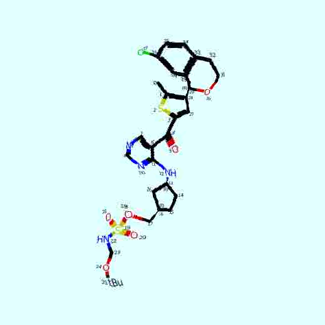 Cc1sc(C(=O)c2cncnc2N[C@@H]2C[CH][C@@H](COS(=O)(=O)NCOC(C)(C)C)C2)cc1[C@@H]1OCCc2ccc(Cl)cc21